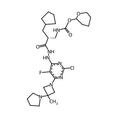 CC1(N2CCCC2)CN(c2nc(Cl)nc(NNC(=O)[C@@H](CNC(=O)OC3CCCCO3)CC3CCCC3)c2F)C1